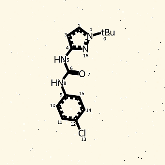 CC(C)(C)n1ccc(NC(=O)Nc2ccc(Cl)cc2)n1